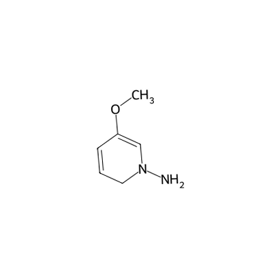 COC1=CN(N)CC=C1